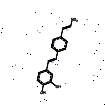 O=[N+]([O-])/C=C/c1ccc(/C=C/c2ccc(O)c(O)c2)cc1